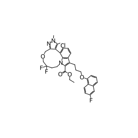 CCOC(=O)c1c(CCCOc2cccc3cc(F)ccc23)c2ccc(Cl)c3c2n1CCC(F)(F)COCc1nn(C)c(C)c1-3